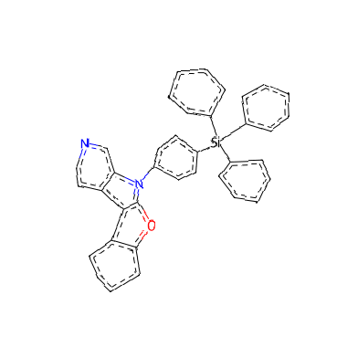 c1ccc([Si](c2ccccc2)(c2ccccc2)c2ccc(-n3c4cnccc4c4c5ccccc5oc43)cc2)cc1